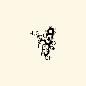 CCOC(=O)c1nn(Cc2ccccc2Cl)c(=O)c(C(=O)NCC(=O)O)c1O